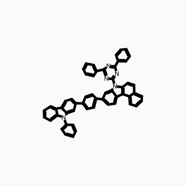 c1ccc(-c2nc(-c3ccccc3)nc(-n3c4cc(-c5ccc(-c6ccc7c8ccccc8n(-c8ccccc8)c7c6)cc5)ccc4c4c5ccccc5ccc43)n2)cc1